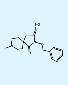 CN1CCC2(CC1)CC(=O)N(OCc1ccccc1)C2=O.Cl